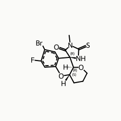 CN1C(=O)[C@@]2(NC1=S)c1cc(Br)c(F)cc1O[C@H]1CCCO[C@@H]12